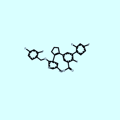 COC(=O)c1cc(C2=C(c3cc(Br)cnc3OCc3ccc(F)cc3F)CCC2)cc(-c2ccc(F)cc2F)c1F